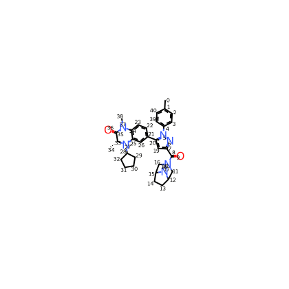 Cc1ccc(-n2nc(C(=O)N3CC4CCC(C3)N4C)cc2-c2ccc3c(c2)N(C2CCCC2)[C@H](C)C(=O)N3C)cc1